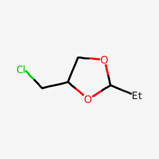 CCC1OCC(CCl)O1